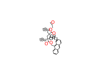 CC(C)(C)CC(C)(CC(C)(C(=O)OCc1c2ccccc2cc2ccccc12)C(C)(C)C)C(=O)OCC1CO1